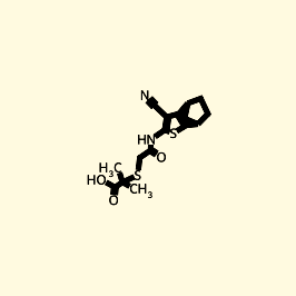 CC(C)(SCC(=O)Nc1sc2c(c1C#N)C1CCC2C1)C(=O)O